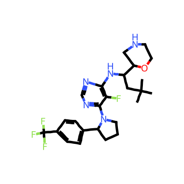 CC(C)(C)CC(Nc1ncnc(N2CCCC2c2ccc(C(F)(F)F)cc2)c1F)C1CNCCO1